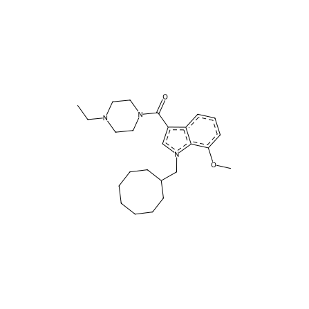 CCN1CCN(C(=O)c2cn(CC3CCCCCCC3)c3c(OC)cccc23)CC1